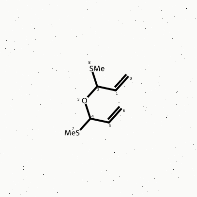 C=CC(OC(C=C)SC)SC